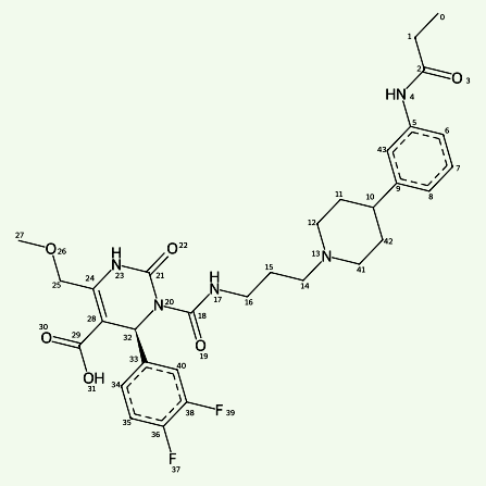 CCC(=O)Nc1cccc(C2CCN(CCCNC(=O)N3C(=O)NC(COC)=C(C(=O)O)[C@@H]3c3ccc(F)c(F)c3)CC2)c1